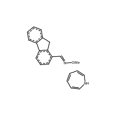 C1=CC=CNC=C1.CON=Cc1cccc2c1Cc1ccccc1-2